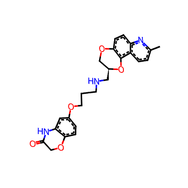 Cc1ccc2c3c(ccc2n1)OC[C@H](CNCCCOc1ccc2c(c1)NC(=O)CO2)O3